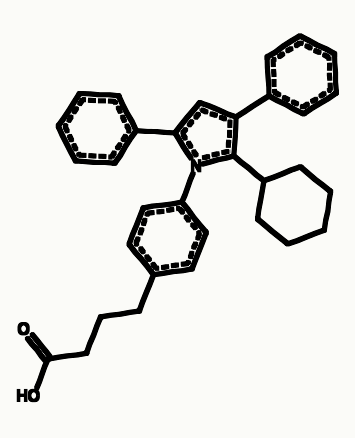 O=C(O)CCCc1ccc(-n2c(-c3ccccc3)cc(-c3ccccc3)c2C2CCCCC2)cc1